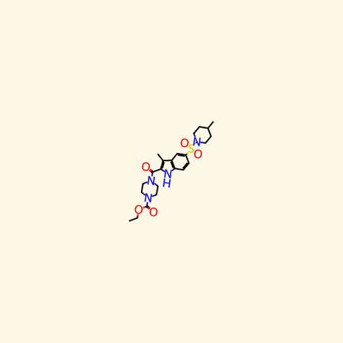 CCOC(=O)N1CCN(C(=O)c2[nH]c3ccc(S(=O)(=O)N4CCC(C)CC4)cc3c2C)CC1